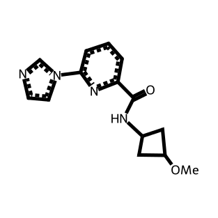 COC1CC(NC(=O)c2cccc(-n3ccnc3)n2)C1